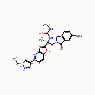 COc1ccc2c(c1)C(=O)N(C[C@](C)(NC(=O)NC=O)c1cc3nc(-c4cnn(CC(C)C)c4)ccc3o1)C2